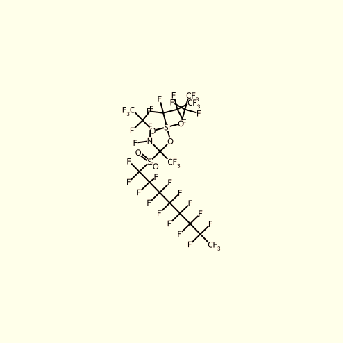 O=S(=O)(C(F)(F)C(F)(F)C(F)(F)C(F)(F)C(F)(F)C(F)(F)C(F)(F)C(F)(F)F)C(O[Si](OC(F)(F)C(F)(F)F)(OC(F)(F)C(F)(F)F)C(F)(F)C(F)(F)C(F)(F)F)(N(F)F)C(F)(F)F